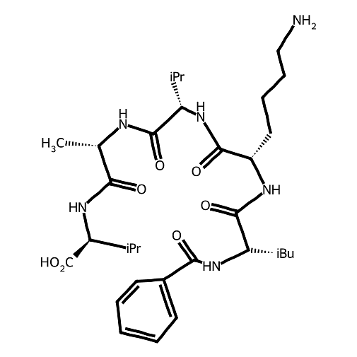 CC[C@@H](C)C(NC(=O)c1ccccc1)C(=O)N[C@@H](CCCCN)C(=O)N[C@H](C(=O)N[C@@H](C)C(=O)N[C@H](C(=O)O)C(C)C)C(C)C